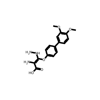 COc1ccc(-c2ccc(O/C(NN)=C(/N)C(=O)O)cc2)cc1OC